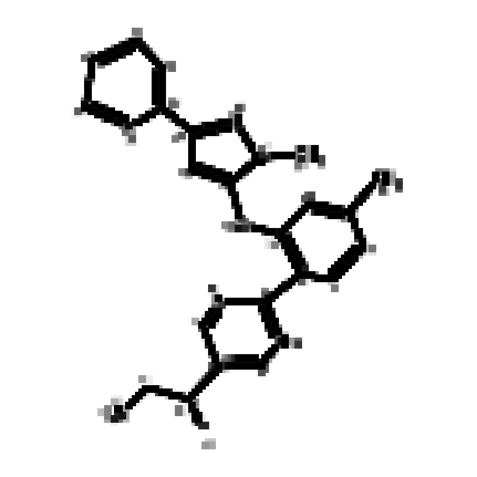 Cc1ccc(-c2ncc([C@@H](F)CN)cn2)c(Oc2cc(-c3ccccn3)nn2C)c1